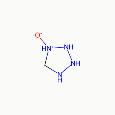 [O-][NH+]1CNNN1